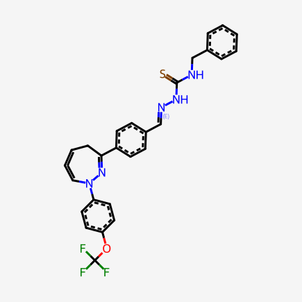 FC(F)(F)Oc1ccc(N2C=C=CCC(c3ccc(/C=N/NC(=S)NCc4ccccc4)cc3)=N2)cc1